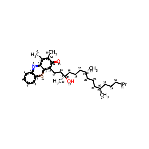 Cc1c2nc3ccccc3sc-2c(CC[C@](C)(O)CCC[C@H](C)CCC[C@H](C)CCCC(C)C)c(=O)c1C